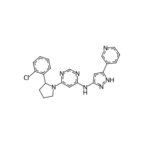 Clc1ccccc1C1CCCN1c1cc(Nc2cc(-c3cccnc3)[nH]n2)ncn1